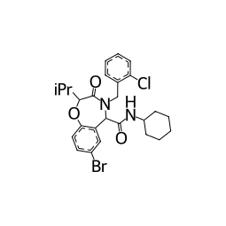 CC(C)C1Oc2ccc(Br)cc2C(C(=O)NC2CCCCC2)N(Cc2ccccc2Cl)C1=O